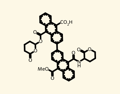 COC(=O)c1c2ccccc2c(C(=O)NC2CCCOC2=O)c2cc(-c3ccc4c(C(=O)O)c5ccccc5c(C(=O)OC5CCCC(=O)O5)c4c3)ccc12